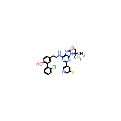 CC1(C)COc2nc3c(NCCc4ccc(O)c(-c5ccccc5Cl)c4)nc(-c4cncc(F)c4)nc3n21